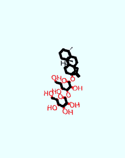 C=C1CC23CCC4[C@@H](C)CCC[C@@]4(C)[C@@H]2CC[C@]1(OC1OC(CO)C(O)C(OC2OC(CO)C(O)C(O)C2O)C1O)C3